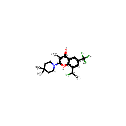 Cc1c(N2CCC(C)(C)CC2)oc2c(C(C)Br)cc(C(F)(F)F)cc2c1=O